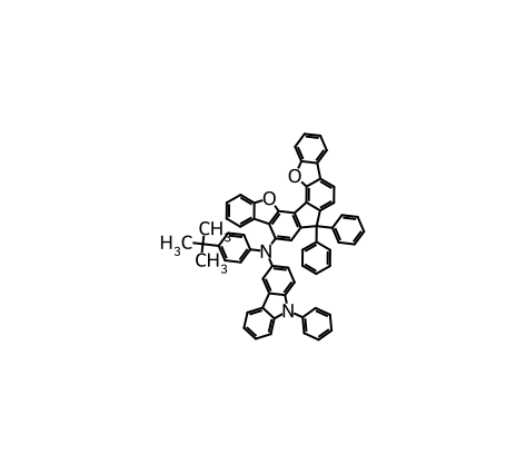 CC(C)(C)c1ccc(N(c2ccc3c(c2)c2ccccc2n3-c2ccccc2)c2cc3c(c4oc5ccccc5c24)-c2c(ccc4c2oc2ccccc24)C3(c2ccccc2)c2ccccc2)cc1